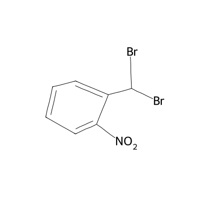 O=[N+]([O-])c1ccccc1C(Br)Br